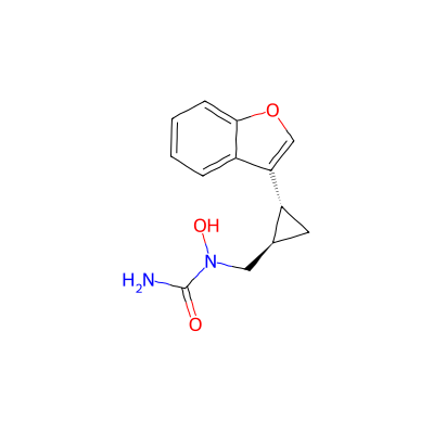 NC(=O)N(O)C[C@@H]1C[C@H]1c1coc2ccccc12